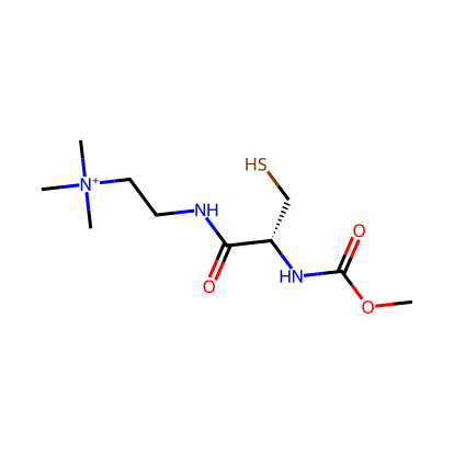 COC(=O)N[C@@H](CS)C(=O)NCC[N+](C)(C)C